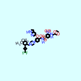 CC1(C)CCC(CN2CCN(c3ccc(C(=O)NS(=O)(=O)c4ccc(NCC5COCCO5)c([N+](=O)[O-])c4)c(Oc4cnc5[nH]ccc5c4)c3)CC2)=C(C23CC(C(F)F)(C2)C3)C1